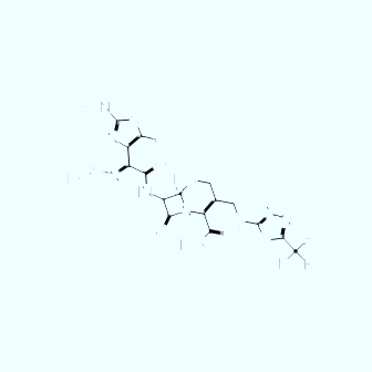 CON=C(C(=O)NC1C(=O)N2C(C(=O)O)=C(CSc3nnc(C(F)(F)F)s3)CS[C@@H]12)c1nc(N)sc1Cl